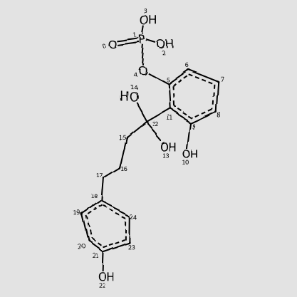 O=P(O)(O)Oc1cccc(O)c1C(O)(O)CCCc1ccc(O)cc1